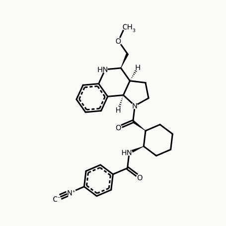 [C-]#[N+]c1ccc(C(=O)N[C@@H]2CCCC[C@@H]2C(=O)N2CC[C@@H]3[C@H](COC)Nc4ccccc4[C@@H]32)cc1